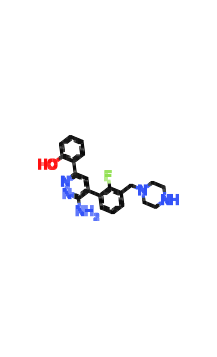 Nc1nnc(-c2ccccc2O)cc1-c1cccc(CN2CCNCC2)c1F